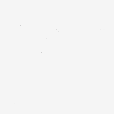 C#CCCCCN1CC(OC(=O)c2ccccn2)[N+]([O-])(c2nc3cc(OCCCCC)ccc3s2)C1